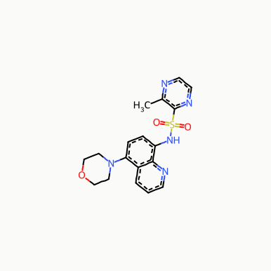 Cc1nccnc1S(=O)(=O)Nc1ccc(N2CCOCC2)c2cccnc12